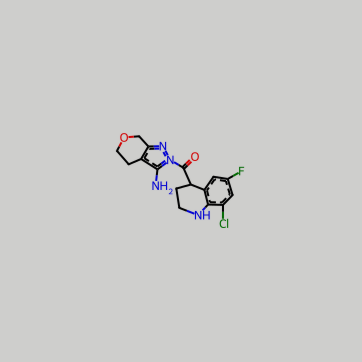 Nc1c2c(nn1C(=O)C1CCNc3c(Cl)cc(F)cc31)COCC2